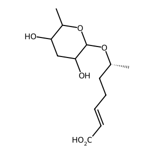 CC1OC(O[C@H](C)CC/C=C/C(=O)O)C(O)CC1O